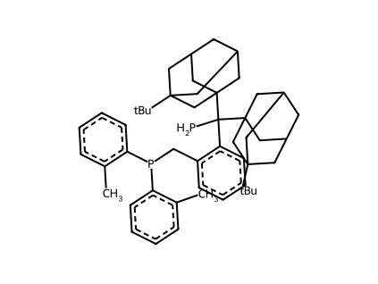 Cc1ccccc1P(Cc1ccccc1C(P)(C12CC3CC(CC(C(C)(C)C)(C3)C1)C2)C12CC3CC(CC(C(C)(C)C)(C3)C1)C2)c1ccccc1C